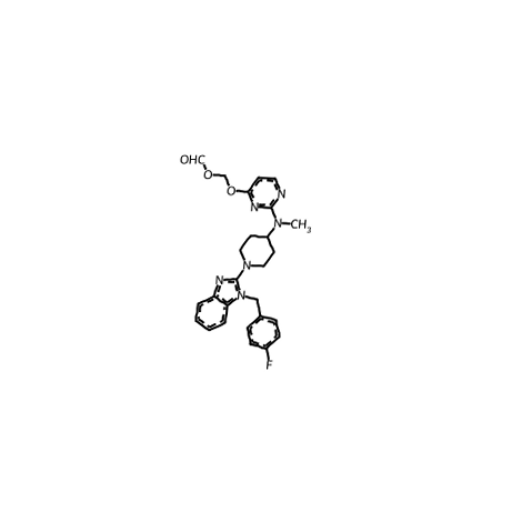 CN(c1nccc(OCOC=O)n1)C1CCN(c2nc3ccccc3n2Cc2ccc(F)cc2)CC1